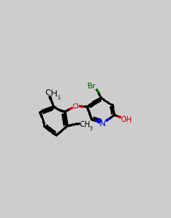 Cc1cccc(C)c1Oc1cnc(O)cc1Br